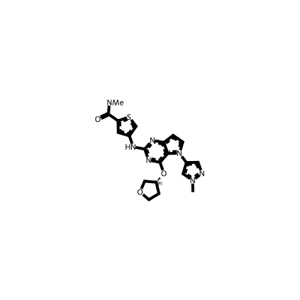 CNC(=O)c1cc(Nc2nc(O[C@@H]3CCOC3)c3c(ccn3-c3cnn(C)c3)n2)cs1